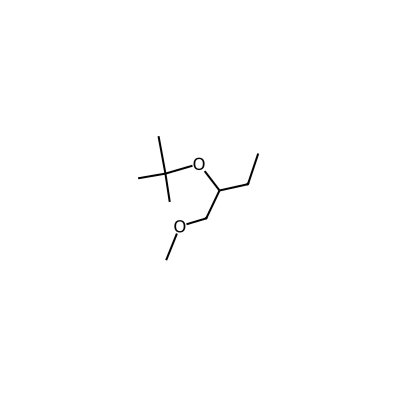 CCC(COC)OC(C)(C)C